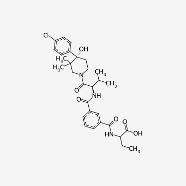 CCC(NC(=O)c1cccc(C(=O)N[C@@H](C(=O)N2CC[C@](O)(c3ccc(Cl)cc3)C(C)(C)C2)C(C)C)c1)C(=O)O